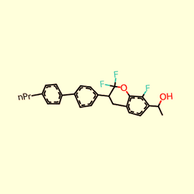 CCCc1ccc(-c2ccc(C3Cc4ccc(C(C)O)c(F)c4OC3(F)F)cc2)cc1